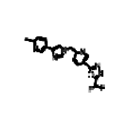 Cc1ccc(-c2cn(Cc3ccc(-c4nnc(C(F)F)o4)cn3)cn2)cn1